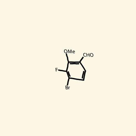 COc1c(C=O)ccc(Br)c1F